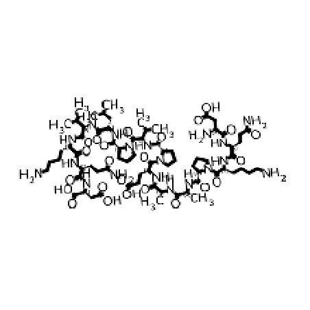 CC(C)C[C@H](NC(=O)[C@@H]1CCCN1C(=O)[C@@H](NC(=O)[C@@H]1CCCN1C(=O)[C@H](CCC(=O)O)NC(=O)[C@H](C)NC(=O)[C@H](C)NC(=O)[C@@H]1CCCN1C(=O)[C@H](CCCCN)NC(=O)[C@H](CCC(N)=O)NC(=O)[C@@H](N)CC(=O)O)C(C)C)C(=O)N[C@H](C(=O)N[C@@H](CCCCN)C(=O)N[C@@H](CCC(N)=O)C(=O)N[C@@H](CC(=O)O)C(=O)O)C(C)C